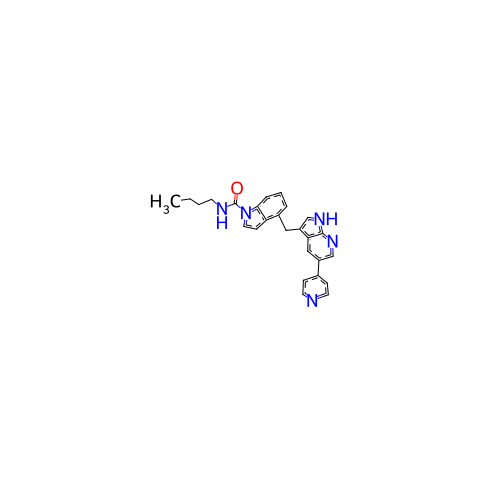 CCCCNC(=O)n1ccc2c(Cc3c[nH]c4ncc(-c5ccncc5)cc34)cccc21